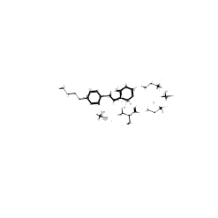 C=CC(C(=O)OCCC(F)(F)OC(F)(F)OC(F)(F)CCOc1ccc2cc(-c3ccc(CCCCC)cc3OC(F)(F)F)oc2c1)C(C)C